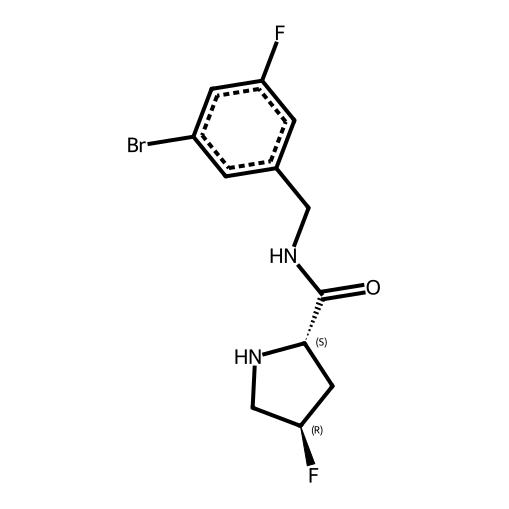 O=C(NCc1cc(F)cc(Br)c1)[C@@H]1C[C@@H](F)CN1